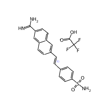 N=C(N)c1ccc2cc(/C=C/c3ccc(S(N)(=O)=O)cc3)ccc2c1.O=C(O)C(F)(F)F